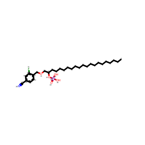 CCCCCCCCCCCCCCCCCCCC(COCc1ccc(C#N)cc1F)OP(=O)(O)O